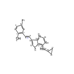 Oc1ccc(F)cc1/C=C/c1csc2c(NC3CC3)ncnc12